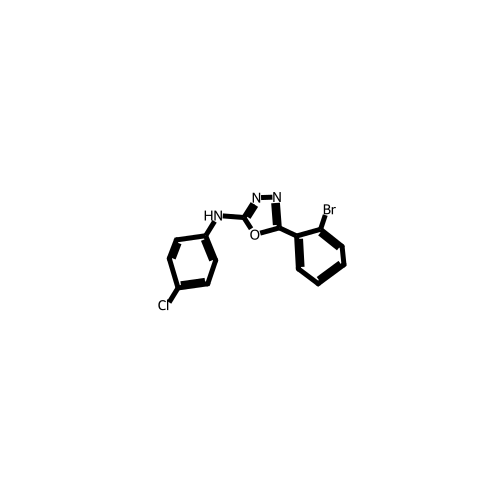 Clc1ccc(Nc2nnc(-c3ccccc3Br)o2)cc1